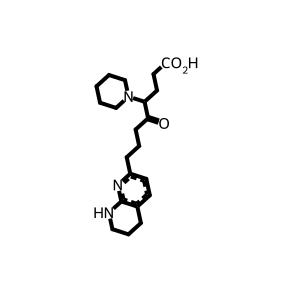 O=C(O)CCC(C(=O)CCCc1ccc2c(n1)NCCC2)N1CCCCC1